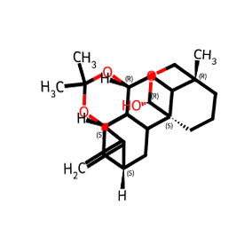 C=C1[C@H]2CCC34C(C2)[C@@]25CCC[C@@](C)(CO[C@H]2O)C5C[C@H]3OC(C)(C)O[C@@H]14